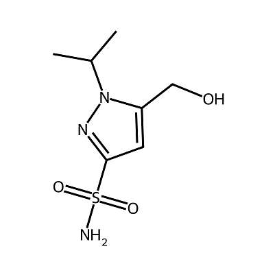 CC(C)n1nc(S(N)(=O)=O)cc1CO